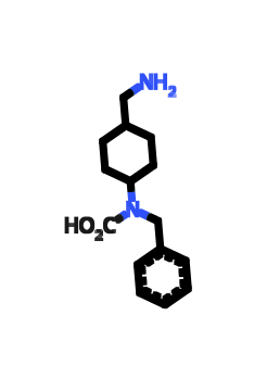 NCC1CCC(N(Cc2ccccc2)C(=O)O)CC1